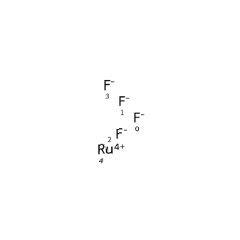 [F-].[F-].[F-].[F-].[Ru+4]